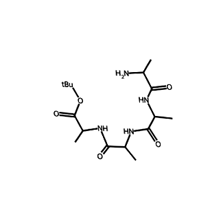 CC(N)C(=O)NC(C)C(=O)NC(C)C(=O)NC(C)C(=O)OC(C)(C)C